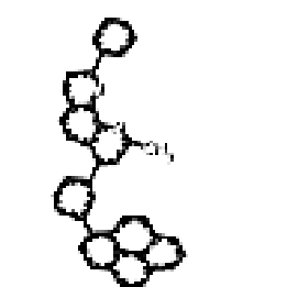 Cc1cc(-c2cccc(-c3ccc4ccc5cccc6ccc3c4c56)c2)c2ccc3ccc(-c4ccccc4)nc3c2n1